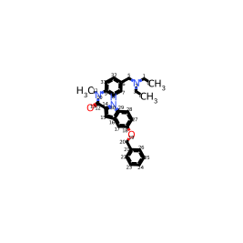 CCN(CC)Cc1ccc(N(C)C(=O)c2cc3cc(OCc4ccccc4)ccc3[nH]2)cc1